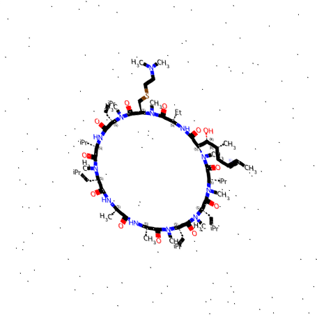 C/C=C/C[C@@H](C)[C@@H](O)[C@H]1C(=O)N[C@@H](CC)C(=O)N(C)[C@H](CSCCN(C)C)C(=O)N(C)[C@@H](CC(C)C)C(=O)N[C@@H](C(C)C)C(=O)N(C)[C@@H](CC(C)C)C(=O)N[C@@H](C)C(=O)N[C@@H](C)C(=O)N(C)[C@@H](CC(C)C)C(=O)N(C)[C@@H](CC(C)C)C(=O)N(C)[C@@H](C(C)C)C(=O)N1C